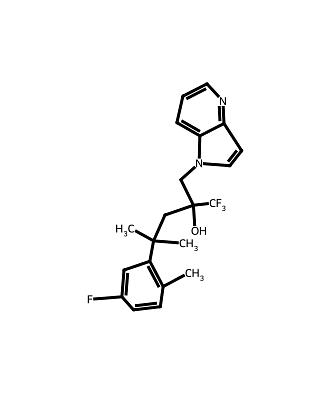 Cc1ccc(F)cc1C(C)(C)CC(O)(Cn1ccc2ncccc21)C(F)(F)F